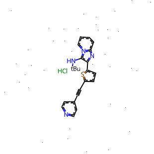 CC(C)(C)Nc1c(-c2ccc(C#Cc3ccncc3)s2)nc2ccccn12.Cl